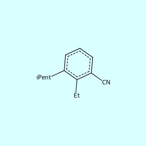 CCC[C](C)c1cccc(C#N)c1CC